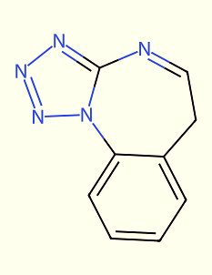 C1=Nc2nnnn2-c2ccccc2C1